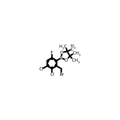 CC1(C)OB(c2c(F)cc(Cl)c(Cl)c2CBr)OC1(C)C